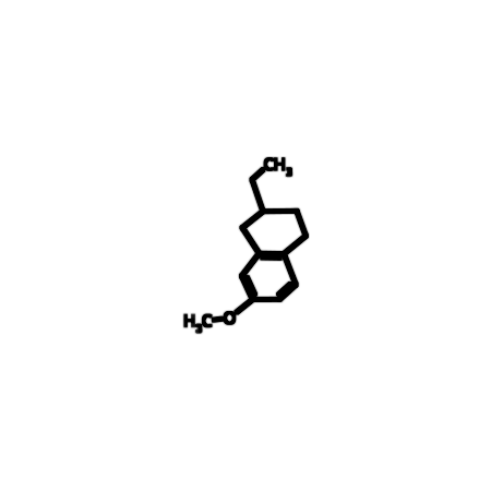 CCC1CCc2ccc(OC)cc2C1